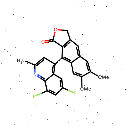 COc1cc2cc3c(c(-c4cc(C)nc5c(F)cc(F)cc45)c2cc1OC)C(=O)OC3